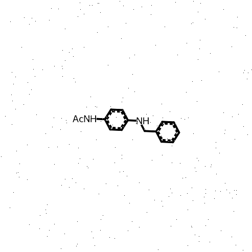 CC(=O)Nc1ccc(NCc2ccccc2)cc1